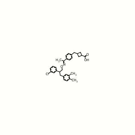 C/C(=N\OCC(Cc1ccc(C)c(C)c1)c1cccc(Cl)c1)c1ccc(CC2CC(C(=O)O)C2)cc1